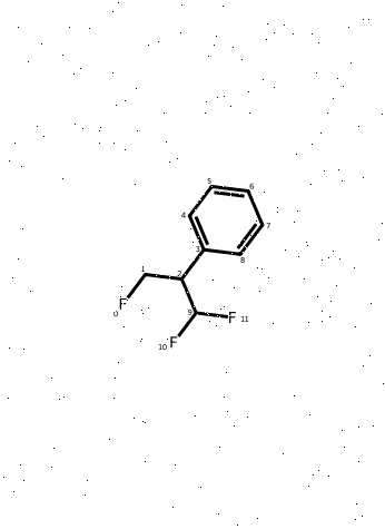 FCC(c1ccccc1)C(F)F